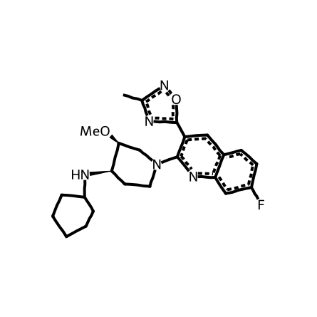 CO[C@H]1CN(c2nc3cc(F)ccc3cc2-c2nc(C)no2)CC[C@H]1NC1CCCCC1